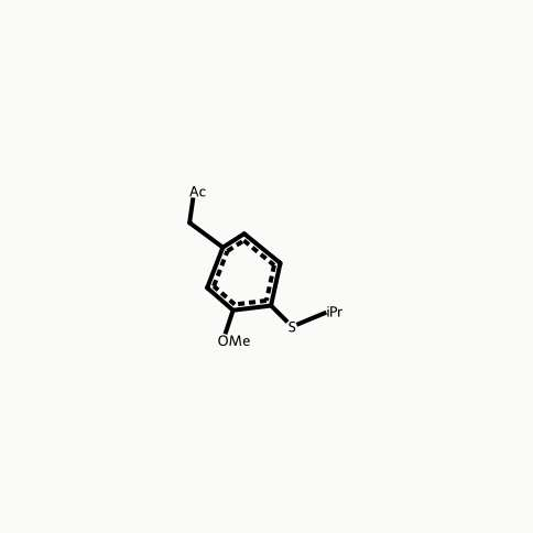 COc1cc(CC(C)=O)ccc1SC(C)C